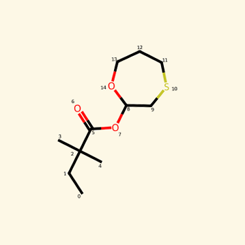 CCC(C)(C)C(=O)OC1CSCCCO1